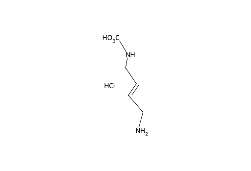 Cl.NC/C=C/CNC(=O)O